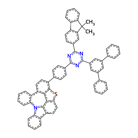 CC1(C)c2ccccc2-c2ccc(-c3nc(-c4ccc(-c5ccc6c7ccccc7n7c8ccccc8c8ccc9sc5c6c9c87)cc4)nc(-c4cc(-c5ccccc5)cc(-c5ccccc5)c4)n3)cc21